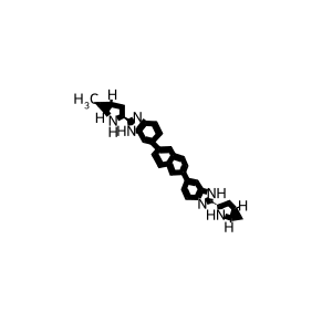 C[C@@H]1[C@@H]2C[C@@H](c3nc4ccc(-c5ccc6cc(-c7ccc8nc([C@@H]9C[C@H]%10C[C@H]%10N9)[nH]c8c7)ccc6c5)cc4[nH]3)N[C@H]12